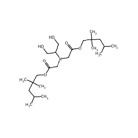 CC(C)CC(C)(C)COC(=O)CN(CC(=O)OCC(C)(C)CC(C)C)C(CO)CO